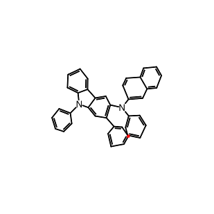 c1ccc(-c2cc3c(cc2N(c2ccccc2)c2ccc4ccccc4c2)c2ccccc2n3-c2ccccc2)cc1